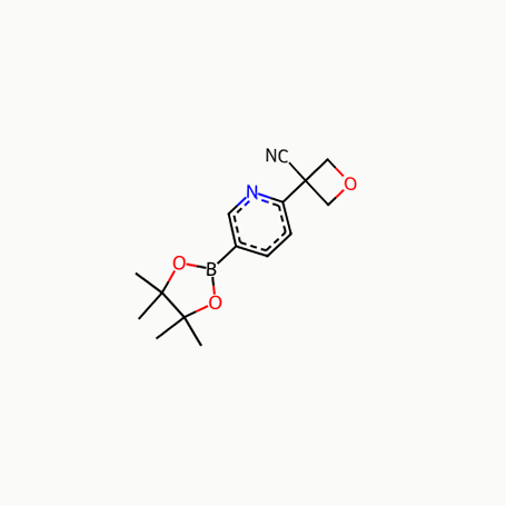 CC1(C)OB(c2ccc(C3(C#N)COC3)nc2)OC1(C)C